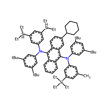 CC[SiH](CC)c1cc(N(c2cc(C(C)(C)C)cc(C(C)(C)C)c2)c2c3ccccc3c(N(c3cc(C(C)(C)C)cc(C(C)(C)C)c3)c3cc(C)cc([Si](CC)(CC)CC)c3)c3cc(C4CCCCC4)ccc23)cc([SiH](CC)CC)c1